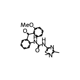 COc1ccccc1C(=O)c1ccccc1NC(=O)Nc1nc(C)ns1